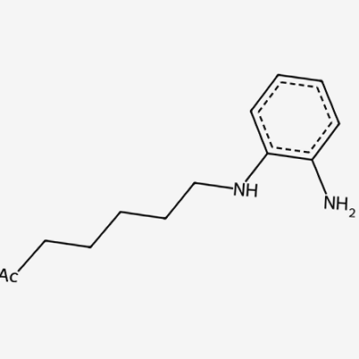 CC(=O)CCCCCNc1ccccc1N